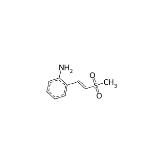 CS(=O)(=O)C=Cc1ccccc1N